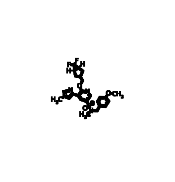 COc1ccc(CN(C)S(=O)(=O)c2cnc(OCC3C[C@@H]4[C@H](C3)C4(F)F)c(-c3cn(C)cn3)c2)cc1